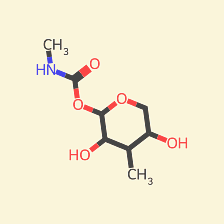 CNC(=O)OC1OCC(O)C(C)C1O